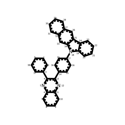 c1ccc(-c2nc3ccccc3nc2-c2ccc(-n3c4ccccc4c4cc5ccccc5cc43)cc2)cc1